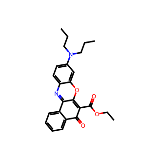 CCCN(CCC)c1ccc2nc3c4ccccc4c(=O)c(C(=O)OCC)c-3oc2c1